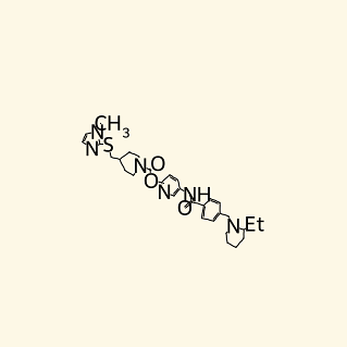 CCC1CCCCN1Cc1ccc(C(=O)Nc2ccc(OC(=O)N3CCC(CSc4nccn4C)CC3)nc2)cc1